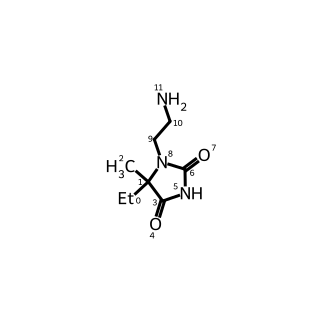 CCC1(C)C(=O)NC(=O)N1CCN